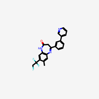 Cc1cc2c(cc1C(F)(F)CF)NC(=O)CC(c1cccc(-c3cccnc3)c1)=N2